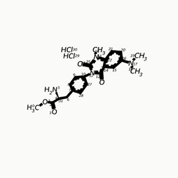 COC(=O)[C@@H](N)Cc1ccc(-n2c(=O)c3cc(N(C)C)ccc3n(C)c2=O)cc1.Cl.Cl